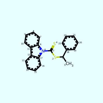 CC(SC(=S)n1c2ccccc2c2ccccc21)c1ccccc1